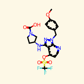 COc1ccc(Cn2nc(N[C@H]3CCN(C(=O)O)C3)c3c(OS(=O)(=O)C(F)(F)F)ccnc32)cc1